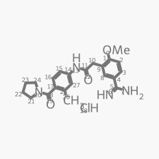 COc1ccc(C(=N)N)cc1CC(=O)Nc1ccc(C(=O)N2CCCC2)c(C)c1.Cl